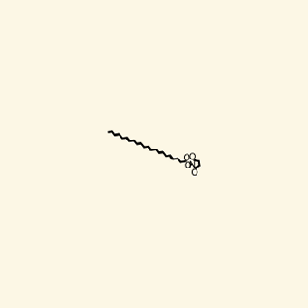 CC/C=C/C/C=C/C/C=C/C/C=C/C/C=C/C/C=C/CCC(=O)ON1C(=O)CCC1=O